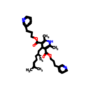 CC(C)=CCCC(C)CC1C(C(=O)OCCCc2cccnc2)=C(C)NC(C)=C1C(=O)OCCCc1cccnc1